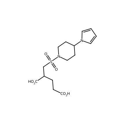 O=C(O)CCC(CS(=O)(=O)N1CCC(n2cccc2)CC1)C(=O)O